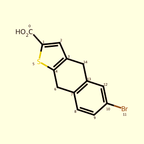 O=C(O)c1cc2c(s1)Cc1ccc(Br)cc1C2